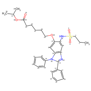 CCCS(=O)(=O)Nc1cc2nc(-c3ccccc3)n(-c3ccccc3)c2cc1OCCCCCC(=O)OC(C)C